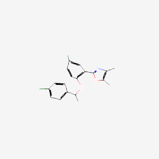 Cc1nc(-c2cc(Cl)ccc2OC(C(=O)O)c2ccc(Cl)cc2)oc1C